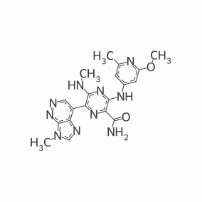 CNc1nc(Nc2cc(C)nc(OC)c2)c(C(N)=O)nc1-c1cnnc2c1ncn2C